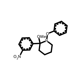 COC1(c2cccc([N+](=O)[O-])c2)CCCCN1Oc1ccccc1